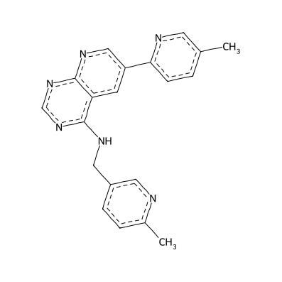 Cc1ccc(-c2cnc3ncnc(NCc4ccc(C)nc4)c3c2)nc1